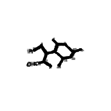 CC(C)CC(C(C)C=O)C1C(C)CC(C)C[C@H]1C